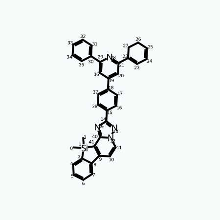 C[Si]1(C)c2ccccc2-c2ccn3nc(-c4ccc(-c5cc(C6=CC=CCC6)nc(-c6ccccc6)c5)cc4)nc3c21